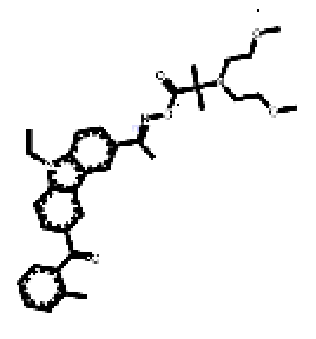 CCn1c2ccc(C(=O)c3ccccc3C)cc2c2cc(/C(C)=N/OC(=O)C(C)(C)N(CCOC)CCOC)ccc21